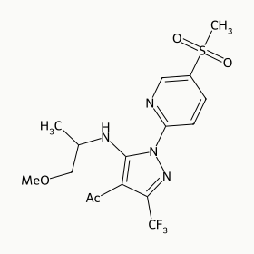 COCC(C)Nc1c(C(C)=O)c(C(F)(F)F)nn1-c1ccc(S(C)(=O)=O)cn1